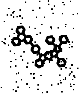 C1=C(c2ccc3c4ccccc4c4ccccc4c3c2)CCC(n2c3ccccc3c3cc4c(cc32)c2c(nc(-c3ccccc3)n2-c2ccccc2)n4-c2ccccc2)=C1